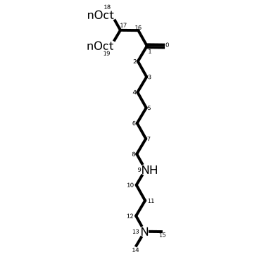 C=C(CCCCCCCNCCCN(C)C)CC(CCCCCCCC)CCCCCCCC